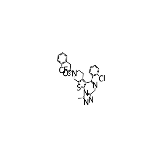 Cc1nnc2n1-c1sc3c(c1C(c1ccccc1Cl)=NC2)CCN(C(=O)Cc1ccccc1C(F)(F)F)C3